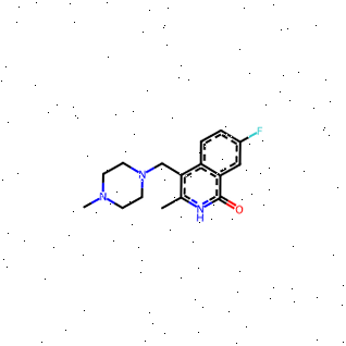 Cc1[nH]c(=O)c2cc(F)ccc2c1CN1CCN(C)CC1